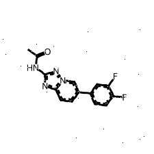 CC(=O)Nc1nc2ccc(-c3ccc(F)c(F)c3)cn2n1